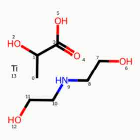 CC(O)C(=O)O.OCCNCCO.[Ti]